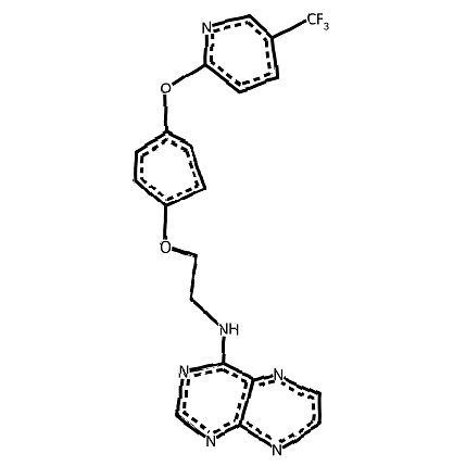 FC(F)(F)c1ccc(Oc2ccc(OCCNc3ncnc4nccnc34)cc2)nc1